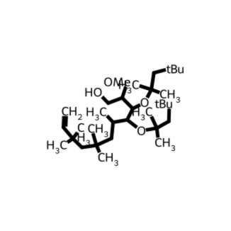 C=CC(C)(C)CC(C)(C)CC(C)C(OC(C)(C)CC(C)(C)C)C(OC(C)(C)CC(C)(C)C)C(CO)OC